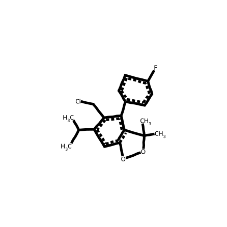 CC(C)c1cc2c(c(-c3ccc(F)cc3)c1CCl)C(C)(C)OO2